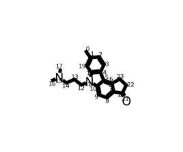 Cc1ccc2c3c4c(ccc3n(CCCN(C)C)c2c1)C(=O)CC4